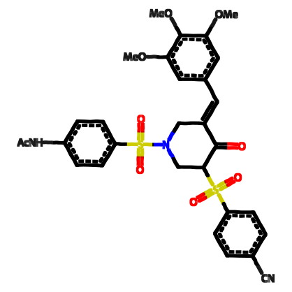 COc1cc(C=C2CN(S(=O)(=O)c3ccc(NC(C)=O)cc3)CC(S(=O)(=O)c3ccc(C#N)cc3)C2=O)cc(OC)c1OC